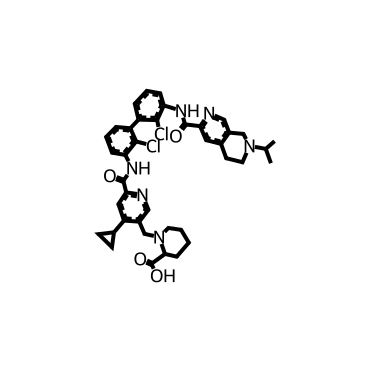 CC(C)N1CCc2cc(C(=O)Nc3cccc(-c4cccc(NC(=O)c5cc(C6CC6)c(CN6CCCCC6C(=O)O)cn5)c4Cl)c3Cl)ncc2C1